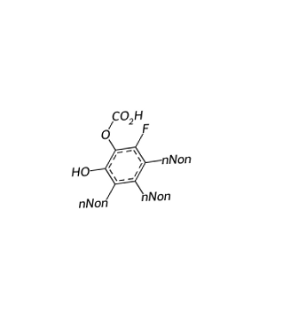 CCCCCCCCCc1c(O)c(OC(=O)O)c(F)c(CCCCCCCCC)c1CCCCCCCCC